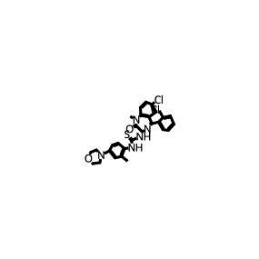 Cc1cc(N2CCOCC2)ccc1NC(=S)NC1N=C(c2ccccc2Cl)c2cc(Cl)ccc2N(C)C1=O